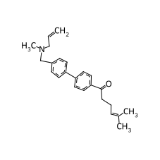 C=CCN(C)Cc1ccc(-c2ccc(C(=O)CCC=C(C)C)cc2)cc1